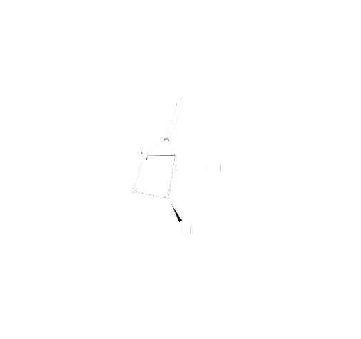 C[C@H]1CN2C(=O)[C@@]12C